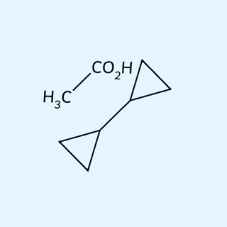 C1CC1C1CC1.CC(=O)O